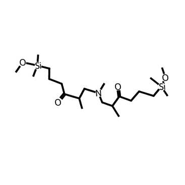 CO[Si](C)(C)CCCC(=O)C(C)CN(C)CC(C)C(=O)CCC[Si](C)(C)OC